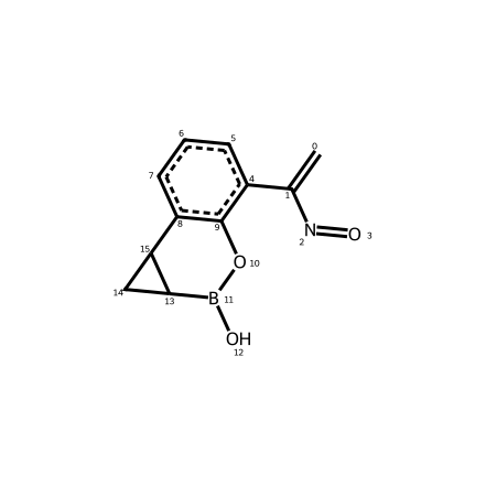 C=C(N=O)c1cccc2c1OB(O)C1CC21